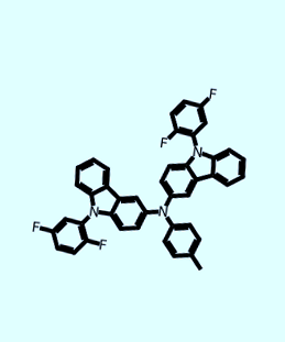 Cc1ccc(N(c2ccc3c(c2)c2ccccc2n3-c2cc(F)ccc2F)c2ccc3c(c2)c2ccccc2n3-c2cc(F)ccc2F)cc1